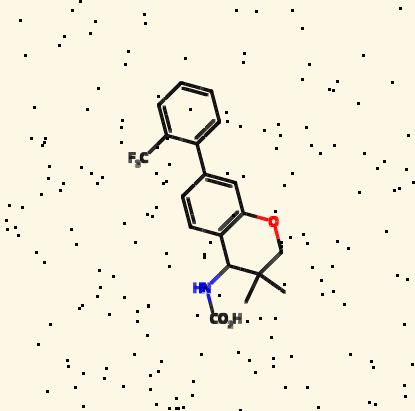 CC1(C)COc2cc(-c3ccccc3C(F)(F)F)ccc2C1NC(=O)O